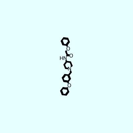 O=C(COc1ccccc1)NC1CCN(Cc2cccc(Oc3ccccc3)c2)CC1